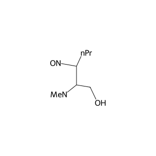 CCCC(N=O)C(CO)NC